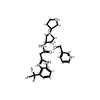 O=C(Cc1nc2c(C(F)(F)F)cccc2[nH]1)NC1CN(C2CCOC2)C[C@@H]1OCc1cccnc1